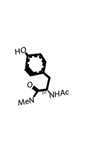 CNC(=O)[C@H](Cc1c#cc(O)cc1)NC(C)=O